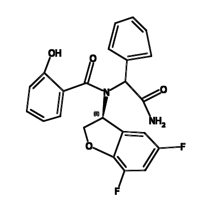 NC(=O)C(c1ccccc1)N(C(=O)c1ccccc1O)[C@@H]1COc2c(F)cc(F)cc21